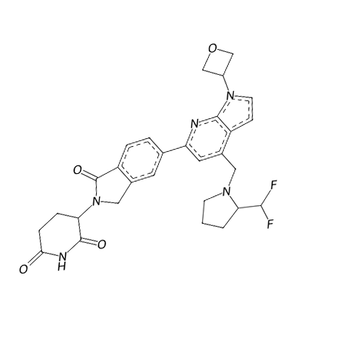 O=C1CCC(N2Cc3cc(-c4cc(CN5CCCC5C(F)F)c5ccn(C6COC6)c5n4)ccc3C2=O)C(=O)N1